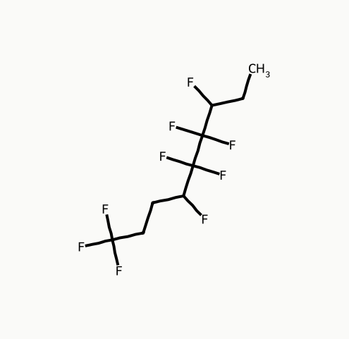 CCC(F)C(F)(F)C(F)(F)C(F)CCC(F)(F)F